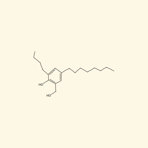 CCCCCCCCc1cc(CO)c(O)c(CCCC)c1